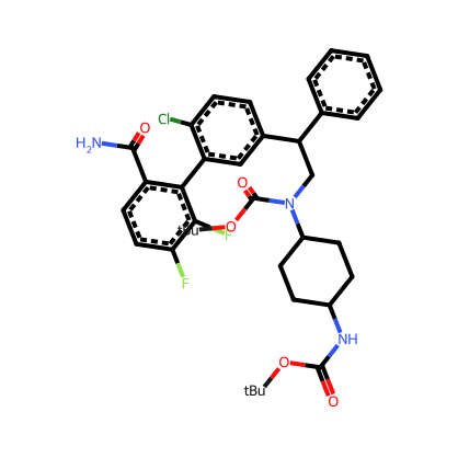 CC(C)(C)OC(=O)NC1CCC(N(CC(c2ccccc2)c2ccc(Cl)c(-c3c(C(N)=O)ccc(F)c3F)c2)C(=O)OC(C)(C)C)CC1